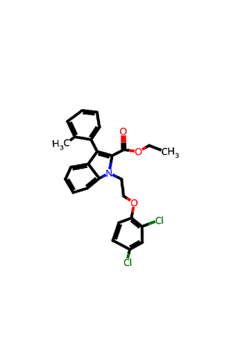 CCOC(=O)c1c(-c2ccccc2C)c2ccccc2n1CCOc1ccc(Cl)cc1Cl